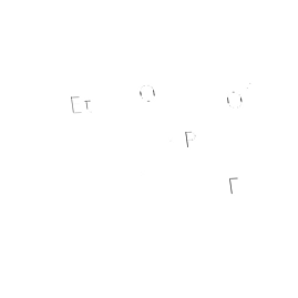 CCOP(C)(=O)F